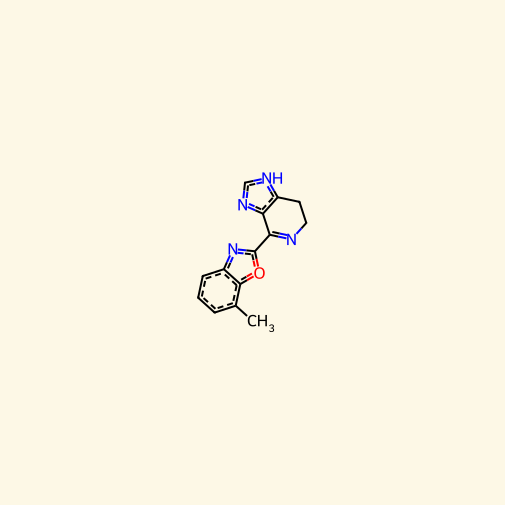 Cc1cccc2nc(C3=NCCc4[nH]cnc43)oc12